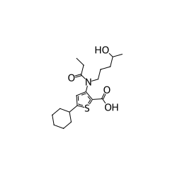 CCC(=O)N(CCCC(C)O)c1cc(C2CCCCC2)sc1C(=O)O